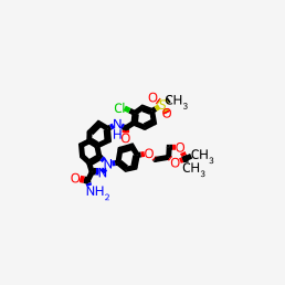 CC1(C)OCC(COc2ccc(-n3nc(C(N)=O)c4c3-c3cc(NC(=O)c5ccc(S(C)(=O)=O)cc5Cl)ccc3CC4)cc2)O1